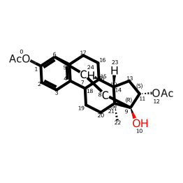 CC(=O)Oc1ccc2c3c1CC[C@]1(O)[C@@H](OC(C)=O)C[C@H]4[C@H](CC3)C2CC[C@@]41C